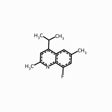 Cc1cc(F)c2nc(C)cc(C(C)C)c2c1